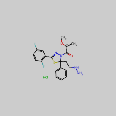 CO[C@@H](C)C(=O)N1N=C(c2cc(F)ccc2F)SC1(CCNN)c1ccccc1.Cl